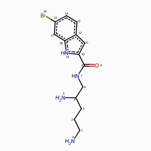 NCCCC(N)CNC(=O)c1cc2ccc(Br)cc2[nH]1